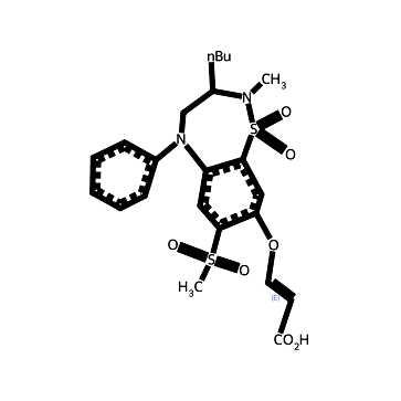 CCCCC1CN(c2ccccc2)c2cc(S(C)(=O)=O)c(O/C=C/C(=O)O)cc2S(=O)(=O)N1C